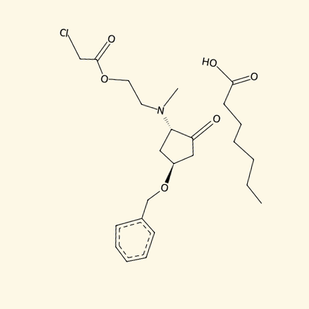 CCCCCCC(=O)O.CN(CCOC(=O)CCl)[C@H]1C[C@H](OCc2ccccc2)CC1=O